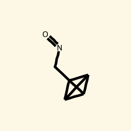 O=NCC12C3C1C32